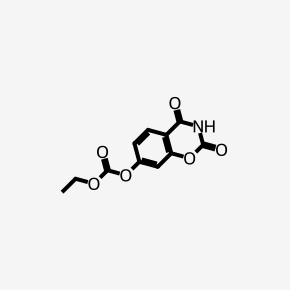 CCOC(=O)Oc1ccc2c(=O)[nH]c(=O)oc2c1